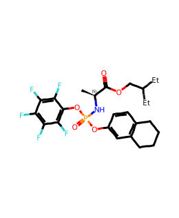 CCC(CC)COC(=O)[C@H](C)NP(=O)(Oc1ccc2c(c1)CCCC2)Oc1c(F)c(F)c(F)c(F)c1F